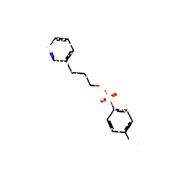 Cc1ccc(S(=O)(=O)OCCCc2cccnc2)cc1